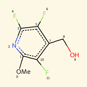 COc1nc(F)c(F)c(CO)c1F